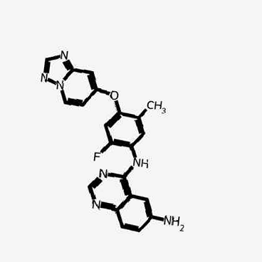 Cc1cc(Nc2ncnc3ccc(N)cc23)c(F)cc1Oc1ccn2ncnc2c1